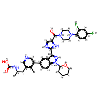 Cc1c(CC(C)NC(=O)O)cncc1-c1ccc2c(c1)c(-c1ncc(C(=O)N3CCN(c4ccc(F)cc4F)CC3)[nH]1)nn2C1CCCCO1